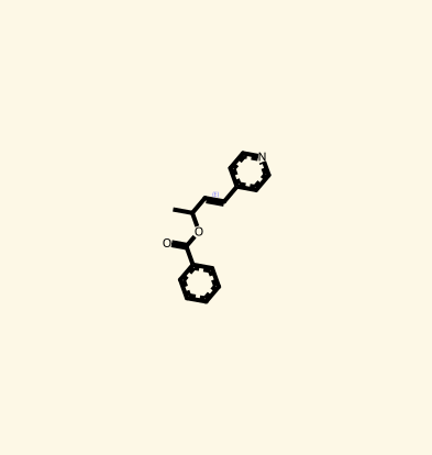 CC(/C=C/c1ccncc1)OC(=O)c1ccccc1